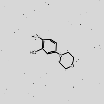 Nc1ccc(N2CCOCC2)cc1O